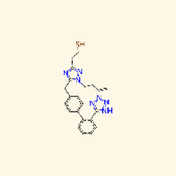 C=CCCn1nc(CCS)nc1Cc1ccc(-c2ccccc2-c2nnn[nH]2)cc1